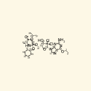 CCOc1nc(N)nc2c1ncn2[C@@H]1O[C@H](CO[P@](=S)(N[C@@H](C)C(=O)OC(C)C)Oc2ccccc2)[C@@H](O)C1(Cl)Cl